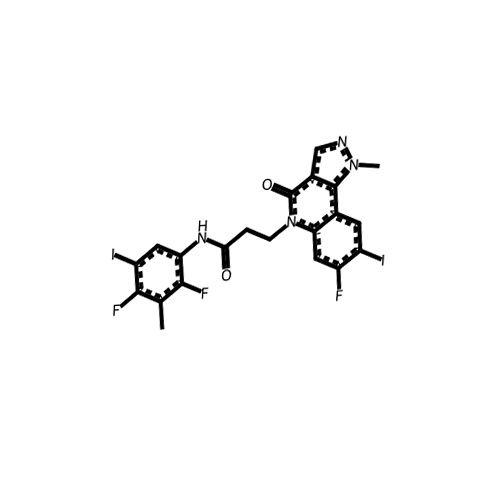 Cc1c(F)c(I)cc(NC(=O)CCn2c(=O)c3cnn(C)c3c3cc(I)c(F)cc32)c1F